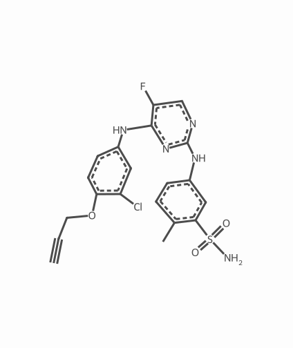 C#CCOc1ccc(Nc2nc(Nc3ccc(C)c(S(N)(=O)=O)c3)ncc2F)cc1Cl